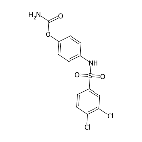 NC(=O)Oc1ccc(NS(=O)(=O)c2ccc(Cl)c(Cl)c2)cc1